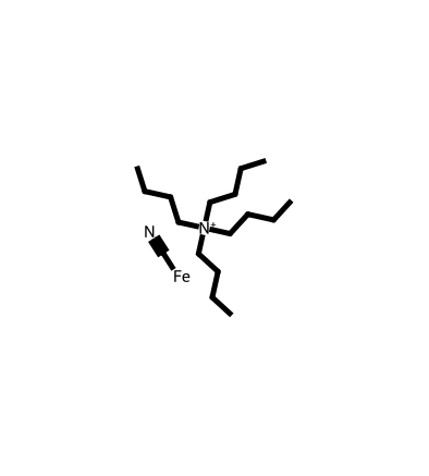 CCCC[N+](CCCC)(CCCC)CCCC.N#[C][Fe]